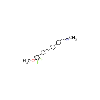 C/C=C/CCC1CCC(C2CCC(CCC3CCC(c4ccc(OCC)c(F)c4F)CC3)CC2)CC1